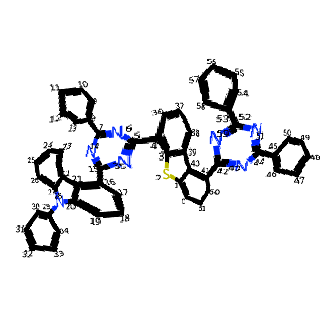 C1=c2sc3c(-c4nc(-c5ccccc5)nc(-c5cccc6c5c5ccccc5n6-c5ccccc5)n4)cccc3c2=C(c2nc(-c3ccccc3)nc(-c3ccccc3)n2)CC1